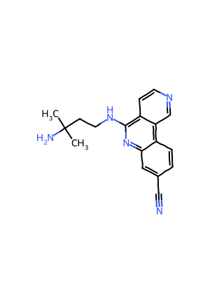 CC(C)(N)CCNc1nc2cc(C#N)ccc2c2cnccc12